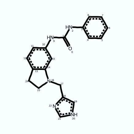 O=C(Nc1ccccc1)Nc1ccc2c(c1)N(Cc1c[nH]cn1)CC2